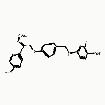 CCCc1ccc(OCc2ccc(OC/C(=N\OC)c3ccc(OC)cc3)cc2)cc1F